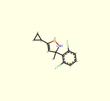 CC1(c2c(F)cccc2F)C=C(C2CC2)ON1